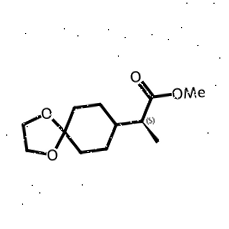 COC(=O)[C@@H](C)C1CCC2(CC1)OCCO2